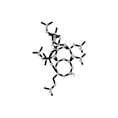 C[SiH](C)OC[Si]12O[SiH2]O[Si]3(O[SiH](C)C)O[Si](O[SiH](C)C)(O1)O[Si]1(O[SiH](C)C)O[Si](O[SiH](C)C)(O2)O[Si](O[SiH2]O[SiH](C)C)(O[SiH](C)C)O[Si](O[SiH](C)C)(O3)O1